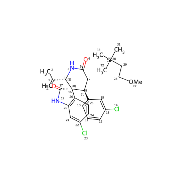 C=C(C)[C@@H]1NC(=O)C[C@@H](c2cccc(Cl)c2)[C@]12C(=O)Nc1cc(Cl)ccc12.COCC[Si](C)(C)C